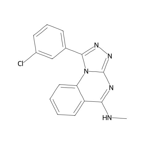 CNc1nc2nnc(-c3cccc(Cl)c3)n2c2ccccc12